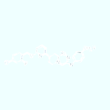 CC(C)n1c(CN2CCC(c3cccc(OCc4ccc(Cl)cc4F)n3)CC2)nc2ccc(C(=O)O)cc21